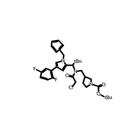 CC(C)(C)OC(=O)N1CCC(CN(C(=O)CCl)C(c2cc(-c3cc(F)ccc3F)cn2Cc2ccccc2)C(C)(C)C)C1